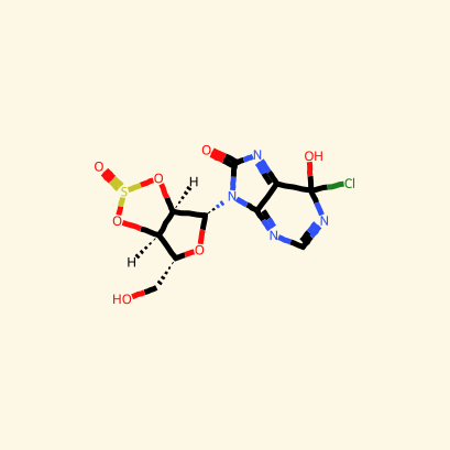 O=C1N=C2C(=NC=NC2(O)Cl)N1[C@@H]1O[C@H](CO)[C@H]2OS(=O)O[C@H]21